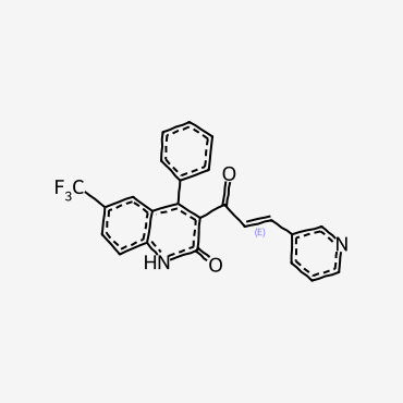 O=C(/C=C/c1cccnc1)c1c(-c2ccccc2)c2cc(C(F)(F)F)ccc2[nH]c1=O